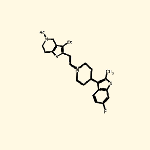 CCc1c(CCN2CCC(c3c(C)sc4cc(F)ccc34)CC2)sc2c1CN(C(C)=O)CC2